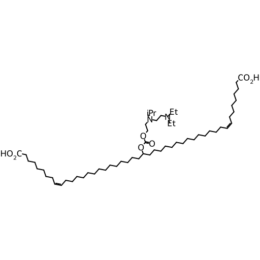 CCN(CC)CCN(CCOC(=O)OC(CCCCCCCCCCCCCC/C=C\CCCCCCCC(=O)O)CCCCCCCCCCCCCC/C=C\CCCCCCCC(=O)O)C(C)C